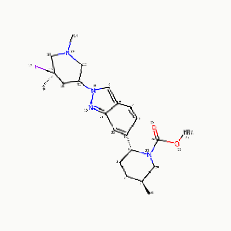 C[C@H]1CC[C@H](c2ccc3cn(C4CN(C)C[C@](C)(I)C4)nc3c2)N(C(=O)OC(C)(C)C)C1